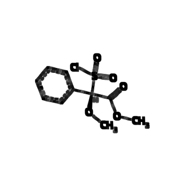 COC(=O)[C@](OC)(c1ccccc1)S(=O)(=O)Cl